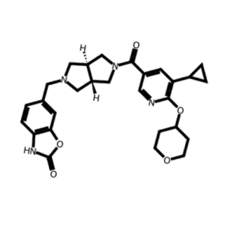 O=C(c1cnc(OC2CCOCC2)c(C2CC2)c1)N1C[C@@H]2CN(Cc3ccc4[nH]c(=O)oc4c3)C[C@H]2C1